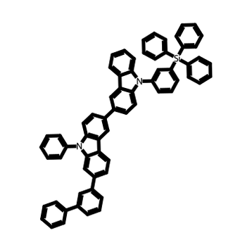 c1ccc(-c2cccc(-c3ccc4c5cc(-c6ccc7c(c6)c6ccccc6n7-c6cccc([Si](c7ccccc7)(c7ccccc7)c7ccccc7)c6)ccc5n(-c5ccccc5)c4c3)c2)cc1